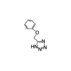 [c]1ccccc1OCc1nnn[nH]1